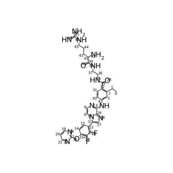 CCc1cc(Nc2nccn3c(-c4ccc(Oc5ncccn5)c(F)c4F)cnc23)ccc1C(=O)NCCNC(=O)C(N)CCCNC(=N)N